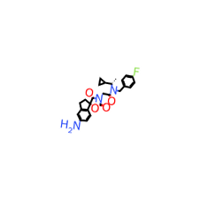 C[C@@H](C1CC1)N(Cc1ccc(F)cc1)C(=O)CN1C(=O)OC2(CCc3cc(N)ccc32)C1=O